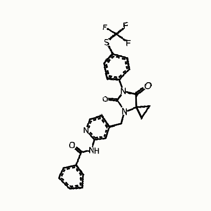 O=C(Nc1cc(CN2C(=O)N(c3ccc(SC(F)(F)F)cc3)C(=O)C23CC3)ccn1)c1ccccc1